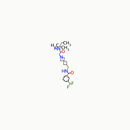 CCC(C)(C)NC(=O)CN1CC2(CC(CNC(=O)c3cccc(C(F)F)c3)C2)C1